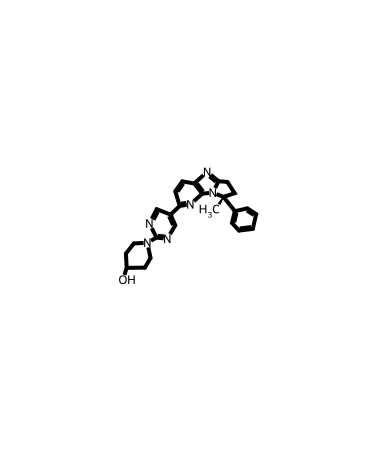 C[C@]1(c2ccccc2)CCc2nc3ccc(-c4cnc(N5CCC(O)CC5)nc4)nc3n21